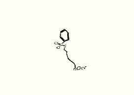 CCCCCCCCCCCCSS(=O)(=O)c1ccccc1